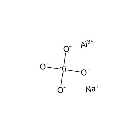 [Al+3].[Na+].[O-][Ti]([O-])([O-])[O-]